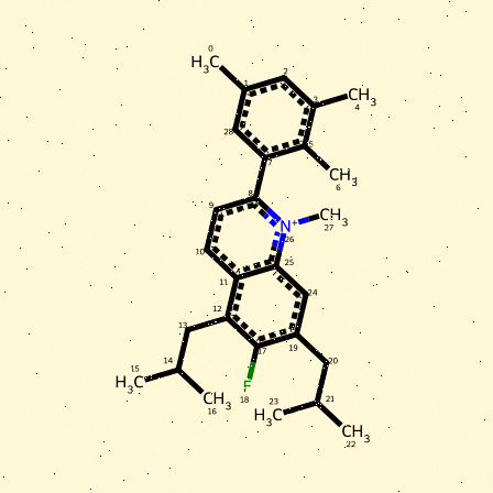 Cc1cc(C)c(C)c(-c2ccc3c(CC(C)C)c(F)c(CC(C)C)cc3[n+]2C)c1